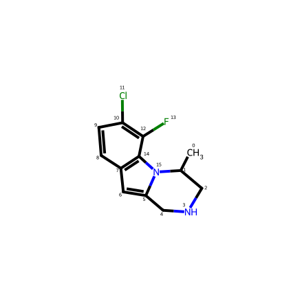 CC1CNCc2cc3ccc(Cl)c(F)c3n21